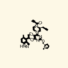 C#CC[C@H]1CN(c2nc(OC[C@@H]3CCCN3C)nc3c2OCC(c2c(C)ccc4[nH]ncc24)O3)CCN1C(=O)C#C